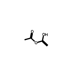 C=C(O)OC(C)=O